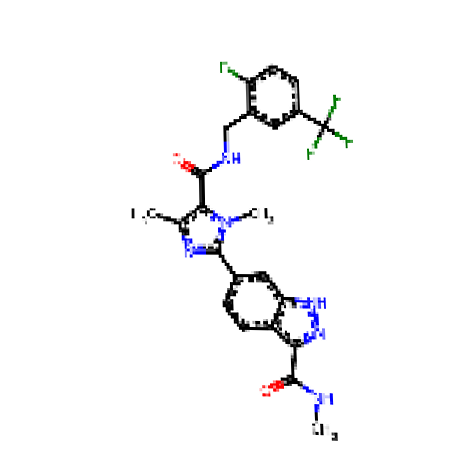 CNC(=O)c1n[nH]c2cc(-c3nc(C)c(C(=O)NCc4cc(C(F)(F)F)ccc4F)n3C)ccc12